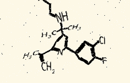 C=C(C)c1cc(C(C)(C)NCCF)cc(-c2ccc(F)c(Cl)c2)n1